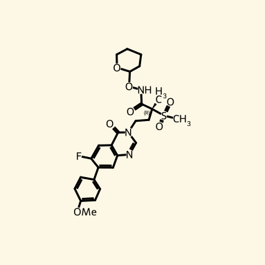 COc1ccc(-c2cc3ncn(CC[C@](C)(C(=O)NOC4CCCCO4)S(C)(=O)=O)c(=O)c3cc2F)cc1